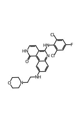 O=c1[nH]ccc2c(Nc3c(Cl)cc(F)cc3Cl)nc3ccc(NCCN4CCOCC4)cc3c12